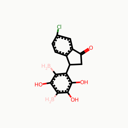 Bc1c(O)c(B)c(C2CC(=O)c3cc(Cl)ccc32)c(O)c1O